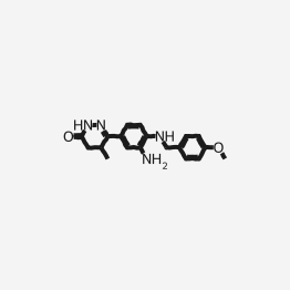 COc1ccc(CNc2ccc(C3=NNC(=O)CC3C)cc2N)cc1